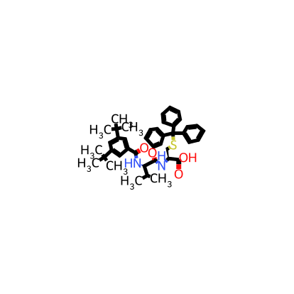 CC(C)[C@H](NC(=O)c1cc(C(C)(C)C)cc(C(C)(C)C)c1)C(=O)N[C@@H](CSC(c1ccccc1)(c1ccccc1)c1ccccc1)C(=O)O